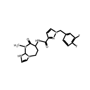 CN1C(=O)C(NC(=O)c2ccn(Cc3ccc(F)c(F)c3)n2)CCN2C=CNC21